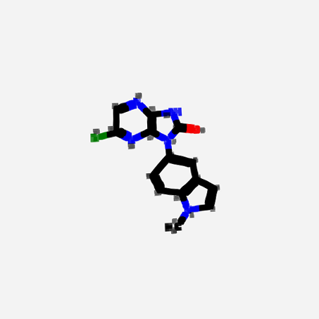 Cn1ccc2cc(-n3c(=O)[nH]c4ncc(Br)nc43)ccc21